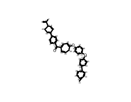 C=C(C)C1C=CC(c2ccc(C(=O)C3=CC=C(Oc4ccc(Oc5ccc(-c6ccc(C)cc6)cc5)cc4)CC=C3)cc2)=CC1